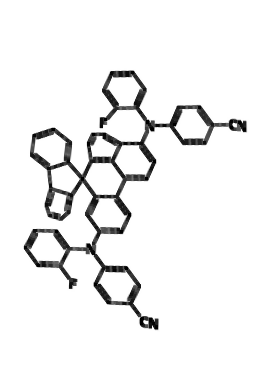 N#Cc1ccc(N(c2ccc3c(c2)C2(c4ccccc4-c4ccccc42)c2cccc4c(N(c5ccc(C#N)cc5)c5ccccc5F)ccc-3c24)c2ccccc2F)cc1